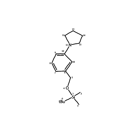 CC(C)(C)[Si](C)(C)OCc1cccc(N2CCCC2)c1